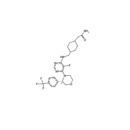 NC(=O)CC1CCC(CNc2ncnc(N3CCOC[C@@H]3c3ccc(C(F)(F)F)cc3)c2F)CC1